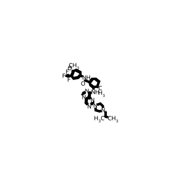 COC1=C(C(F)(F)F)C=C=C(NC(=O)C2=CC=CC(C)C(Nc3ncnc4cnc(N5CCN(CC(C)C)CC5)nc34)=C2)C=C1